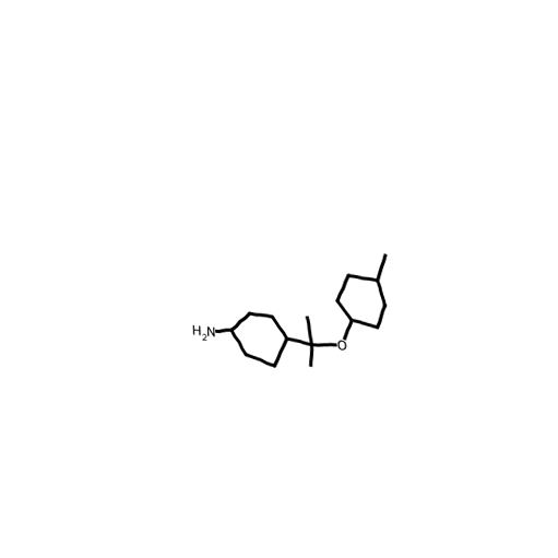 CC1CCC(OC(C)(C)C2CCC(N)CC2)CC1